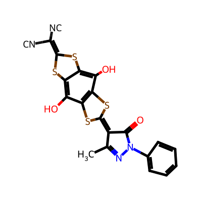 [C-]#[N+]C([N+]#[C-])=C1Sc2c(O)c3c(c(O)c2S1)SC(=C1C(=O)N(c2ccccc2)N=C1C)S3